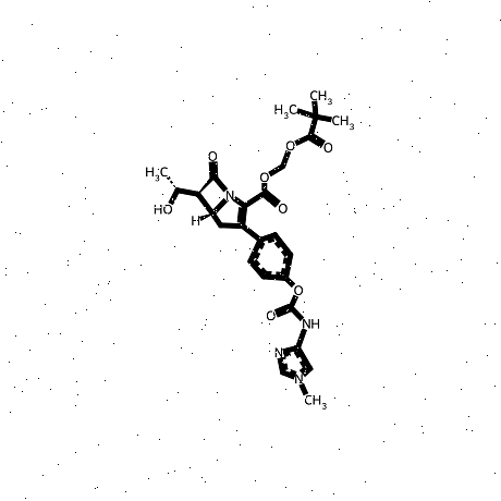 C[C@@H](O)[C@H]1C(=O)N2C(C(=O)OCOC(=O)C(C)(C)C)=C(c3ccc(OC(=O)Nc4cn(C)cn4)cc3)C[C@H]12